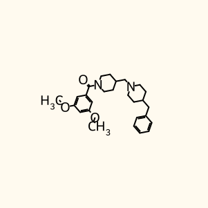 COc1cc(OC)cc(C(=O)N2CCC(CN3CCC(Cc4ccccc4)CC3)CC2)c1